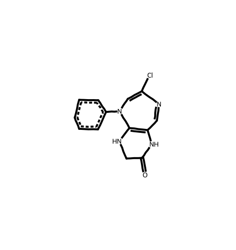 O=C1CNC2=C(C=NC(Cl)=CN2c2ccccc2)N1